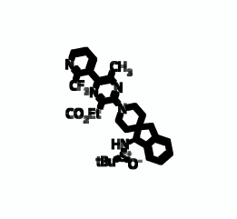 CCOC(=O)c1nc(-c2cccnc2C(F)(F)F)c(C)nc1N1CCC2(CC1)Cc1ccccc1[C@H]2N[S+]([O-])C(C)(C)C